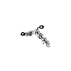 CCNC(=O)Nc1ncnc2c1ncn2[C@@H]1O[C@H](COP(=O)(O)OP(=O)(O)Cc2ccccc2)C2OC(Cc3ccccc3)O[C@@H]21